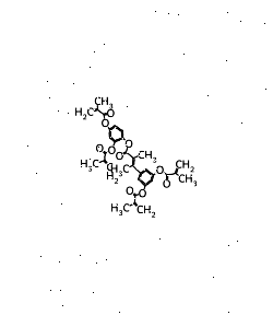 C=C(C)C(=O)Oc1cc(OC(=O)C(=C)C)cc(/C(C)=C(\C)C(=O)Oc2ccc(OC(=O)C(=C)C)cc2OC(=O)C(=C)C)c1